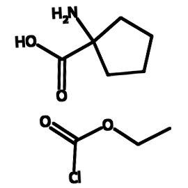 CCOC(=O)Cl.NC1(C(=O)O)CCCC1